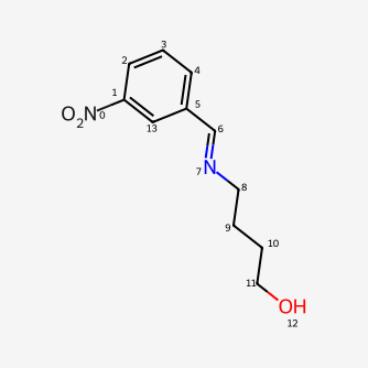 O=[N+]([O-])c1cccc(C=NCCCCO)c1